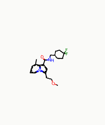 COCCc1cc(C(=O)NCC2CCC(F)(F)CC2)c2c(C)cccn12